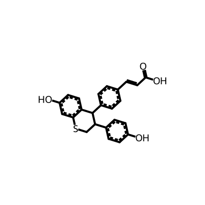 O=C(O)C=Cc1ccc(C2c3ccc(O)cc3SCC2c2ccc(O)cc2)cc1